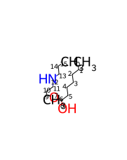 CCCCCCC(=O)O.CCCNCCC